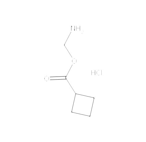 Cl.NCOC(=O)C1CCC1